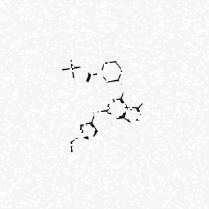 CCn1cc(Nc2nc(O[C@@H]3CCCN(C(=O)OC(C)(C)C)C3)c3c(Cl)n[nH]c3n2)cn1